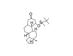 CC(C)(C)[Si](C)(C)OC1CC(=O)CC2CC[C@@H]3[C@H](CC[C@]4(C)CCC[C@@H]34)[C@H]21